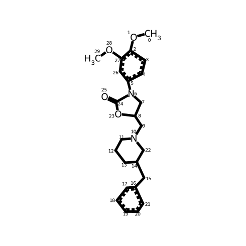 COc1ccc(N2CC(CN3CCCC(Cc4ccccc4)C3)OC2=O)cc1OC